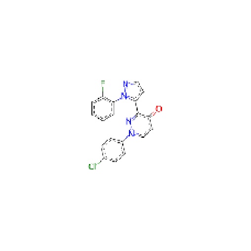 O=c1ccn(-c2ccc(Cl)cc2)nc1-c1ccnn1-c1ccccc1F